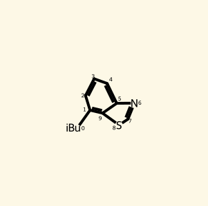 CCC(C)c1cccc2ncsc12